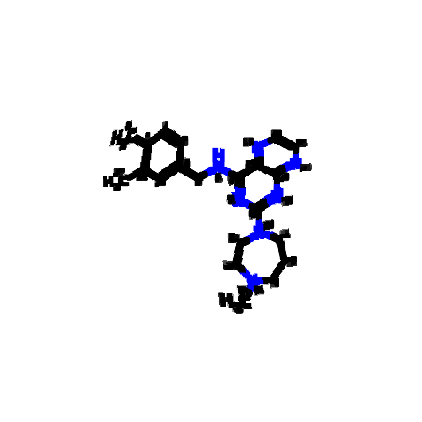 Cc1ccc(CNc2nc(N3CCCN(C)CC3)nc3nccnc23)cc1C